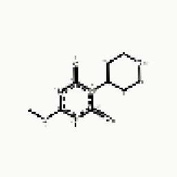 CSc1nc(=O)n(C2CCOCC2)c(=O)[nH]1